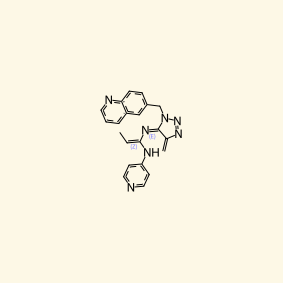 C=C1N=NN(Cc2ccc3ncccc3c2)/C1=N/C(=C\C)Nc1ccncc1